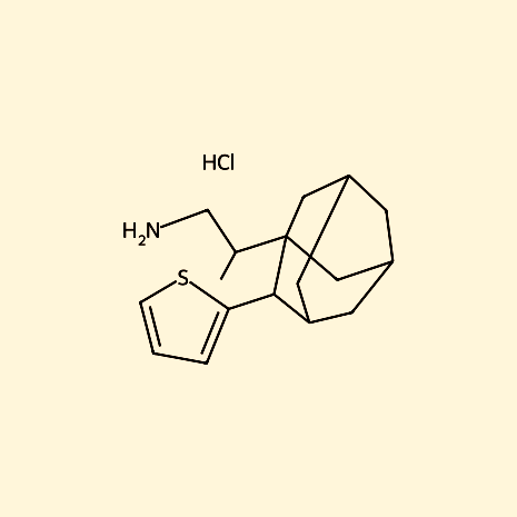 CC(CN)C12CC3CC(CC(C3)C1c1cccs1)C2.Cl